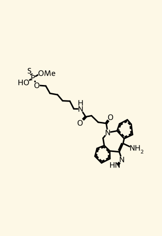 COP(O)(=S)OCCCCCCNC(=O)CCC(=O)N1Cc2ccccc2/C(N=N)=C(/N)c2ccccc21